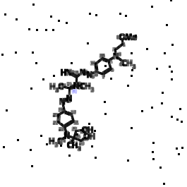 COCCN(C)c1ccc(N=NC(=N)/[N+](C)=C(\C)N=Nc2ccc(N(C)C(C)(CO)CO)cc2)cc1